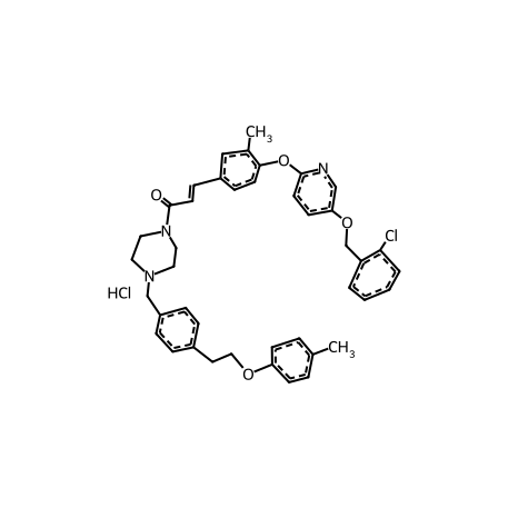 Cc1ccc(OCCc2ccc(CN3CCN(C(=O)C=Cc4ccc(Oc5ccc(OCc6ccccc6Cl)cn5)c(C)c4)CC3)cc2)cc1.Cl